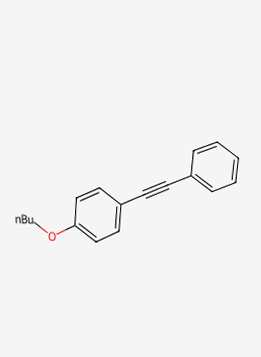 CCCCOc1ccc(C#Cc2ccccc2)cc1